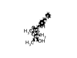 CCCN(CCO)C(=O)C(N)[C@@H]1S[C@H](CNc2ccc(CCN3CCCC3)cc2)C(=O)N1CC